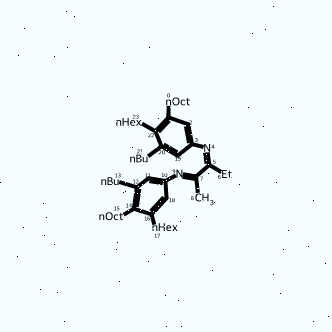 CCCCCCCCc1cc(N=C(CC)C(C)=Nc2cc(CCCC)c(CCCCCCCC)c(CCCCCC)c2)cc(CCCC)c1CCCCCC